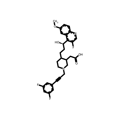 COc1ccc2ncc(F)c([C@H](O)CCC3CCN(CC#Cc4cc(F)cc(F)c4)CC3CC(=O)O)c2c1